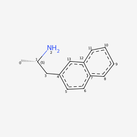 C[C@H](N)Cc1ccc2ccccc2c1